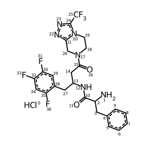 Cl.NC(Cc1ccccc1)C(=O)NC(CC(=O)N1CCn2c(nnc2C(F)(F)F)C1)Cc1cc(F)c(F)cc1F